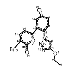 CCOc1cn(-c2ccc(Cl)cc2-c2ccc(Br)c(=O)o2)nn1